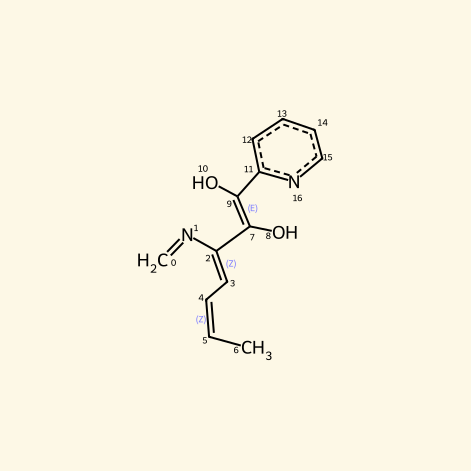 C=NC(=C\C=C/C)/C(O)=C(\O)c1ccccn1